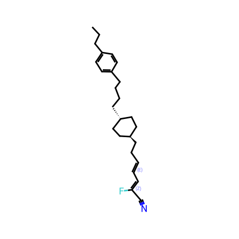 CCCc1ccc(CCCC[C@H]2CC[C@H](CC/C=C/C=C(\F)C#N)CC2)cc1